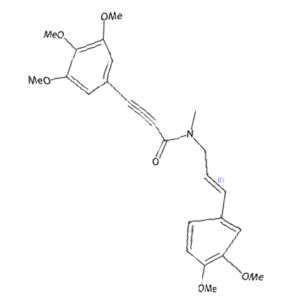 COc1ccc(/C=C/CN(C)C(=O)C#Cc2cc(OC)c(OC)c(OC)c2)cc1OC